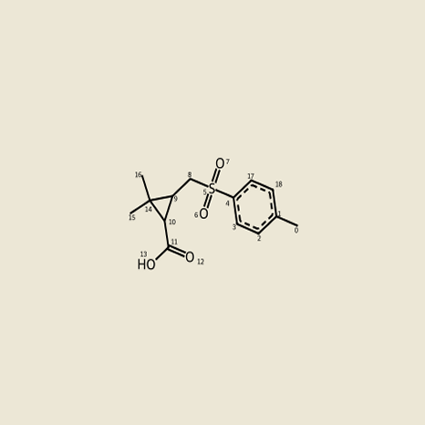 Cc1ccc(S(=O)(=O)CC2C(C(=O)O)C2(C)C)cc1